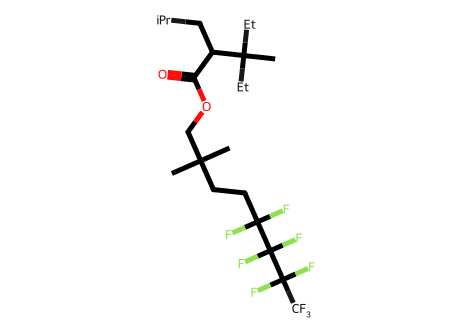 CCC(C)(CC)C(CC(C)C)C(=O)OCC(C)(C)CCC(F)(F)C(F)(F)C(F)(F)C(F)(F)F